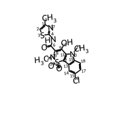 Cc1csc(NC(=O)C2=C(O)c3c(c4cc(Cl)ccc4n3C)S(=O)(=O)N2C)n1